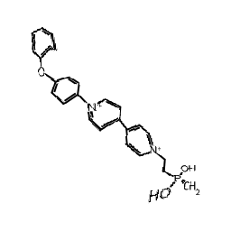 C=P(O)(O)CC[n+]1ccc(-c2cc[n+](-c3ccc(Oc4ccccc4)cc3)cc2)cc1